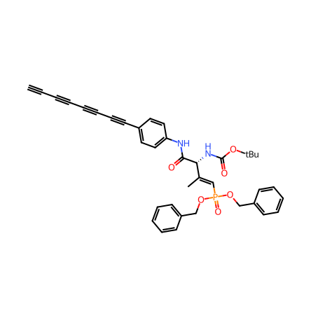 C#CC#CC#CC#Cc1ccc(NC(=O)[C@H](NC(=O)OC(C)(C)C)/C(C)=C/P(=O)(OCc2ccccc2)OCc2ccccc2)cc1